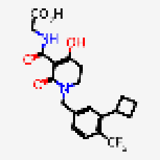 O=C(O)CNC(=O)C1=C(O)CCN(Cc2ccc(C(F)(F)F)c(C3CCC3)c2)C1=O